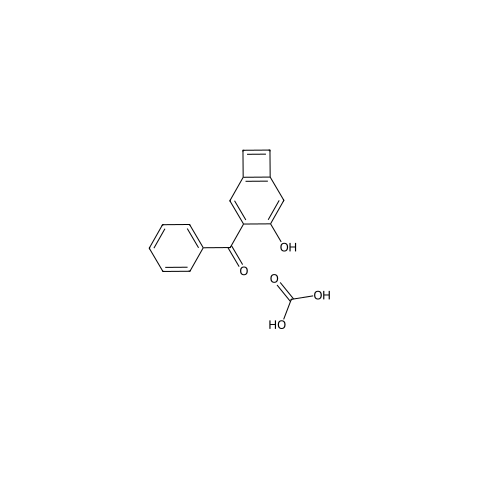 O=C(O)O.O=C(c1ccccc1)c1cc2c(cc1O)C=C2